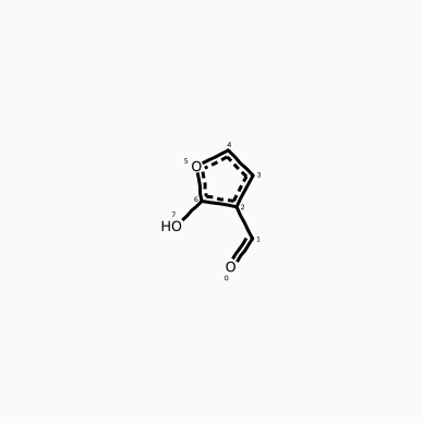 O=Cc1ccoc1O